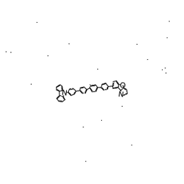 c1cnc2c(c1)oc1ccc(-c3ccc(-c4ccc(-c5ccc(-c6ccc(-n7c8ccccc8c8ccccc87)cc6)cc5)cc4)cc3)cc12